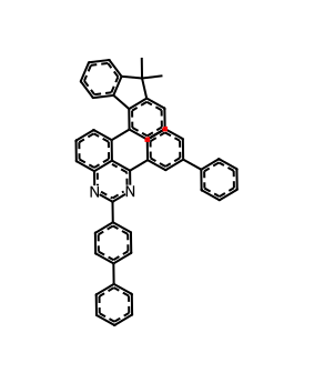 CC1(C)c2ccccc2-c2c(-c3cccc4nc(-c5ccc(-c6ccccc6)cc5)nc(-c5cccc(-c6ccccc6)c5)c34)cccc21